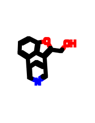 OCc1oc2cccc3c4cncc(c4)c1c23